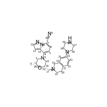 C[C@@H]1CN(c2ccc(C#N)n3nccc23)C[C@H](CN2CCc3ccc(N4CCNCC4)cc3C2)O1